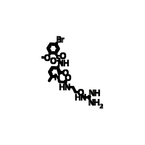 COc1ccc(Br)cc1S(=O)(=O)Nc1ccc(C)n(CC(=O)NCCONC(=N)N)c1=O